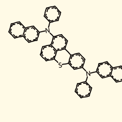 c1ccc(N(c2ccc3c(c2)Sc2cccc4c(N(c5ccccc5)c5ccc6ccccc6c5)ccc-3c24)c2ccc3ccccc3c2)cc1